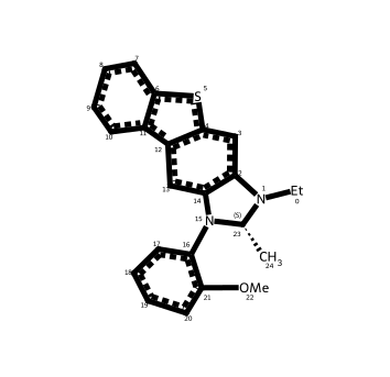 CCN1c2cc3sc4ccccc4c3cc2N(c2ccccc2OC)[C@H]1C